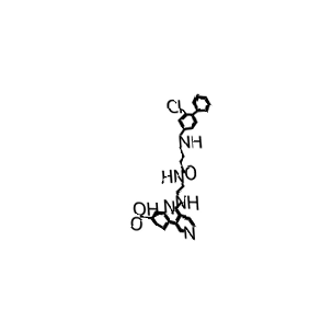 O=C(CCCNCc1ccc(-c2ccccc2)c(Cl)c1)NCCNc1nc2cc(C(=O)O)ccc2c2cnccc12